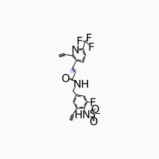 C#Cc1cc(CNC(=O)/C=C/c2ccc(C(F)(F)F)nc2C#C)cc(F)c1NS(C)(=O)=O